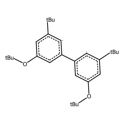 CC(C)(C)Oc1cc(-c2[c]c(C(C)(C)C)cc(OC(C)(C)C)c2)[c]c(C(C)(C)C)c1